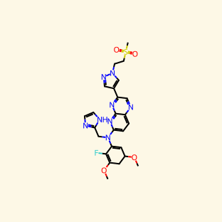 COC1=C(F)C(N(Cc2ncc[nH]2)c2ccc3ncc(-c4cnn(CCS(C)(=O)=O)c4)nc3n2)=CC(OC)C1